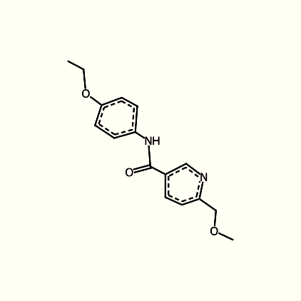 CCOc1ccc(NC(=O)c2ccc(COC)nc2)cc1